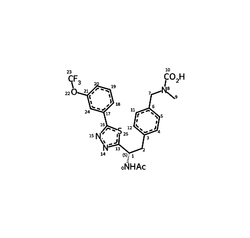 CC(=O)N[C@@H](Cc1ccc(CN(C)C(=O)O)cc1)c1nnc(-c2cccc(OC(F)(F)F)c2)s1